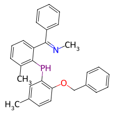 C/N=C(\c1ccccc1)c1cccc(C)c1Pc1cc(C)ccc1OCc1ccccc1